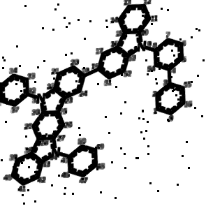 c1ccc(-c2cccc(-n3c4ccccc4c4cc(-c5ccc6c(c5)c5cc7c(cc5n6-c5ccccc5)c5ccccc5n7-c5ccccc5)ccc43)c2)cc1